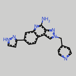 Nc1nc2cc(-c3cc[nH]n3)ccc2c2cn(Cc3ccncc3)nc12